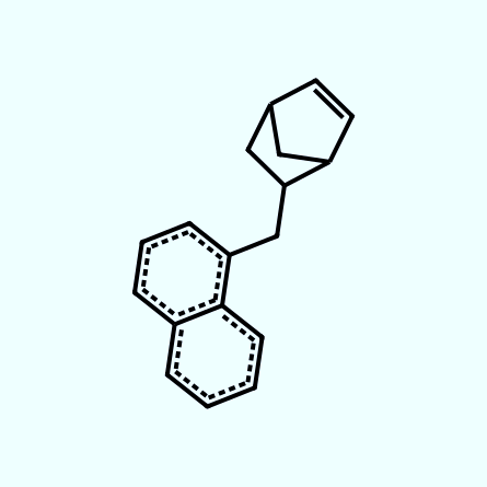 C1=CC2CC1CC2Cc1cccc2ccccc12